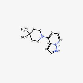 CC1(C#N)CCN(c2cccn3nccc23)CC1